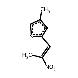 CC(=Cc1cc(C)cs1)[N+](=O)[O-]